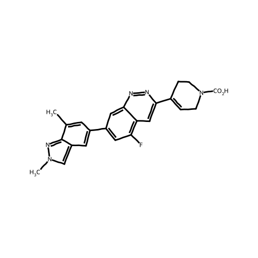 Cc1cc(-c2cc(F)c3cc(C4=CCN(C(=O)O)CC4)nnc3c2)cc2cn(C)nc12